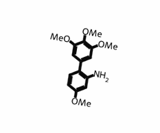 COc1ccc(-c2cc(OC)c(OC)c(OC)c2)c(N)c1